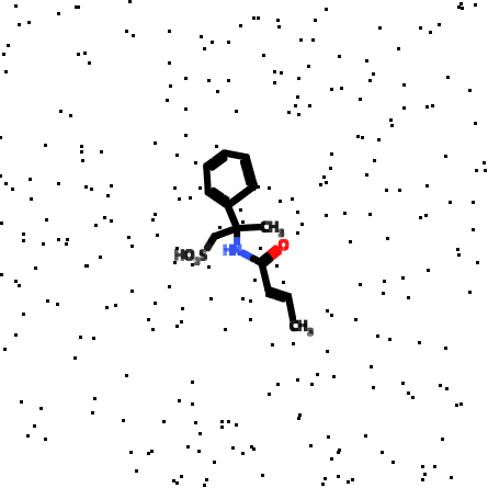 CC=CC(=O)NC(C)(CS(=O)(=O)O)c1ccccc1